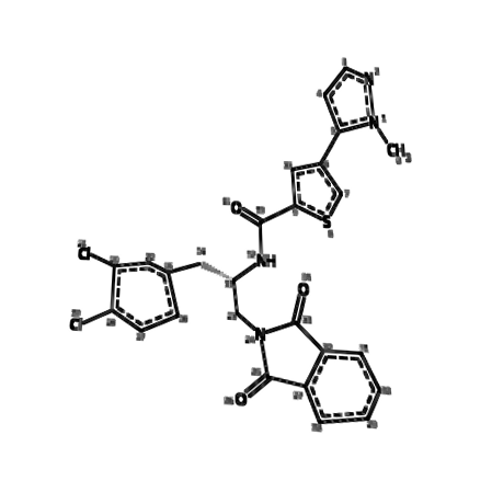 Cn1nccc1-c1csc(C(=O)N[C@@H](Cc2ccc(Cl)c(Cl)c2)CN2C(=O)c3ccccc3C2=O)c1